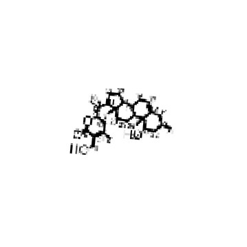 CC1=C(CO)C(=O)OC([C@@H](C)C2CCC3C4CC=C5CC(C)C[C@H](O)C5(C)C4CCC32C)C1